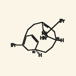 CC(C)C1=C2C=C[C@@H](CC[C@H]3CC=C(CC2)c2nc(C(C)C)[nH]c23)C1